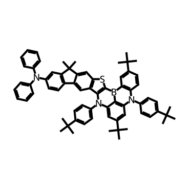 CC(C)(C)c1ccc(N2c3ccc(C(C)(C)C)cc3B3c4sc5cc6c(cc5c4N(c4ccc(C(C)(C)C)cc4)c4cc(C(C)(C)C)cc2c43)-c2ccc(N(c3ccccc3)c3ccccc3)cc2C6(C)C)cc1